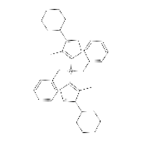 CC1=[C]([Zr]([CH2]c2ccccc2)([CH2]c2ccccc2)[C]2=C(C)C(C3CCCCC3)=CC2)CC=C1C1CCCCC1